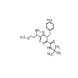 COCCC(N)C(=O)NC(Cc1ccccc1)C(=O)C(=O)NC(C)(C)C.Cl